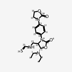 CCN(CC)[C@H]1OC(=O)N(c2ccc(N3CCOC3=O)cc2)C1CNC=S